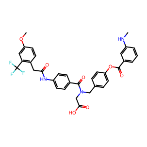 CNc1cccc(C(=O)Oc2ccc(CN(CC(=O)O)C(=O)c3ccc(NC(=O)Cc4ccc(OC)cc4C(F)(F)F)cc3)cc2)c1